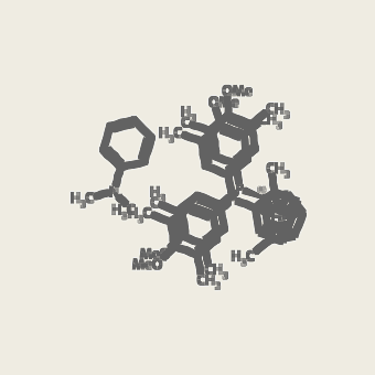 CN(C)c1ccccc1.COc1c(C)cc(P(c2cc(C)c(OC)c(C)c2)[C]23[CH]4[CH]5[CH]6[C]2(C)[Fe]56432789[CH]3[CH]2[C]7(C)[C@]8(P(c2cc(C)c(OC)c(C)c2)c2cc(C)c(OC)c(C)c2)[CH]39)cc1C